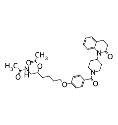 CC(=O)NCC(CCCCOc1ccc(C(=O)N2CCC(N3C(=O)CCc4ccccc43)CC2)cc1)OC(C)=O